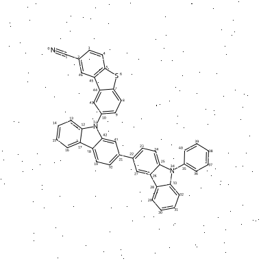 N#Cc1ccc2sc3ccc(-n4c5ccccc5c5ccc(-c6ccc7c(c6)c6ccccc6n7-c6ccccc6)cc54)cc3c2c1